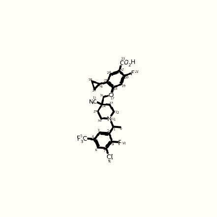 CC(c1cc(C(F)(F)F)cc(Cl)c1F)N1CCC(C#N)(COc2cc(F)c(C(=O)O)cc2C2CC2)CC1